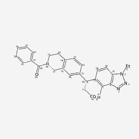 CCn1nnc2c(C)c([C@H](CC(=O)O)c3ccc4c(c3)CN(C(=O)c3ccccc3)CC4)ccc21